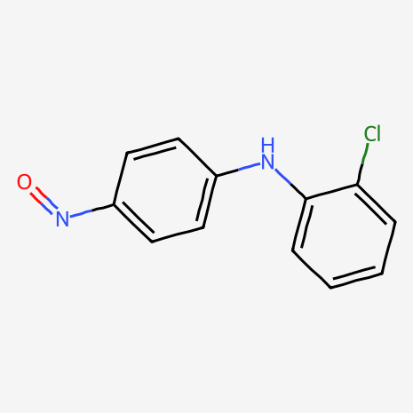 O=Nc1ccc(Nc2ccccc2Cl)cc1